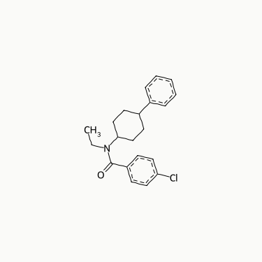 CCN(C(=O)c1ccc(Cl)cc1)C1CCC(c2ccccc2)CC1